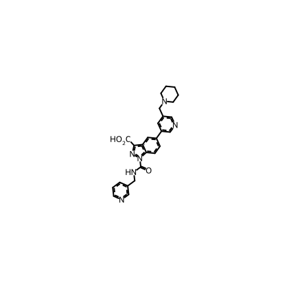 O=C(O)c1nn(C(=O)NCc2cccnc2)c2ccc(-c3cncc(CN4CCCCC4)c3)cc12